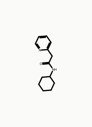 O=C(Cc1ccccn1)NC1CCCCC1